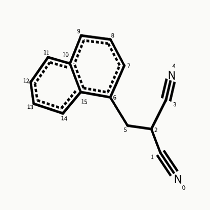 N#CC(C#N)Cc1cccc2ccccc12